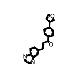 O=C(/C=C/c1ccc2nccnc2c1)c1ccc(-c2ccoc2)cc1